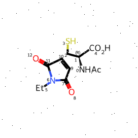 CC(=O)N[C@@H](CS)C(=O)O.CCN1C(=O)C=CC1=O